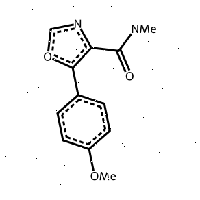 [CH2-][NH2+]C(=O)c1ncoc1-c1ccc(OC)cc1